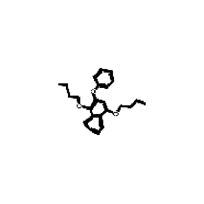 CCCCOc1cc(Oc2ccccc2)c(OCCCC)c2ccccc12